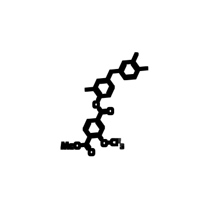 COC(=O)c1ccc(C(=O)Oc2ccc(Cc3ccc(C)c(C)c3)cc2C)cc1OC(F)(F)F